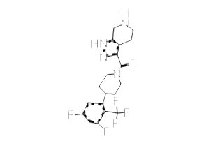 O=C(c1n[nH]c2c1CCNC2)N1CCC(c2cc(F)cc(F)c2C(F)(F)F)CC1